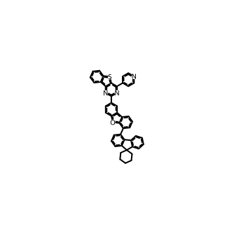 c1ccc2c(c1)-c1c(-c3cccc4c3oc3ccc(-c5nc(-c6ccncc6)c6sc7ccccc7c6n5)cc34)cccc1C21CCCCC1